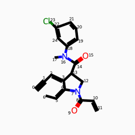 C#C/C=C1\C(=C/C)N(C(=O)C=C)CC1C(=O)N(C)c1cccc(Cl)c1